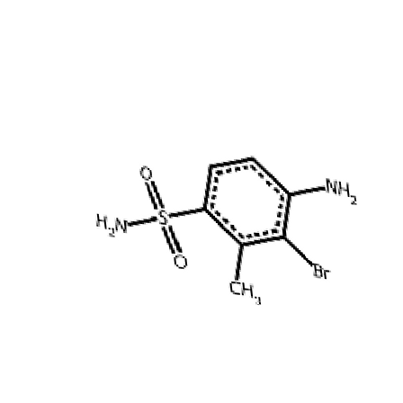 Cc1c(S(N)(=O)=O)ccc(N)c1Br